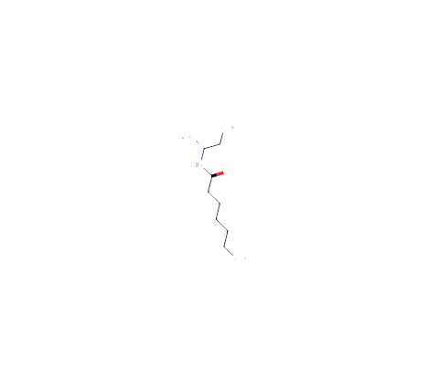 CCCCCCCCCCCCCC(=O)N[C@@H]([C]=O)C[C]=O